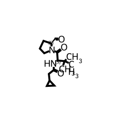 CC(C)(C)[C@H](NC(=O)CC1CC1)C(=O)N1CCC[C@H]1C=O